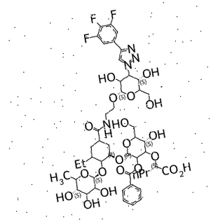 CCC[C@H](OC1C(OC(=O)c2ccccc2)[C@H](O[C@@H]2CC(C(=O)NCCO[C@H]3OC(CO)[C@@H](O)C(n4cc(-c5cc(F)c(F)c(F)c5)nn4)C3O)CC(CC)C2O[C@@H]2OC(C)[C@@H](O)C(O)C2O)OC(CO)[C@@H]1O)C(=O)O